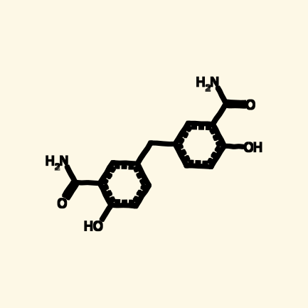 NC(=O)c1cc(Cc2ccc(O)c(C(N)=O)c2)ccc1O